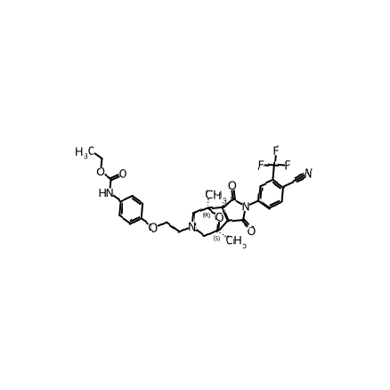 CCOC(=O)Nc1ccc(OCCN2C[C@@]3(C)O[C@@](C)(C2)C2C(=O)N(c4ccc(C#N)c(C(F)(F)F)c4)C(=O)C23)cc1